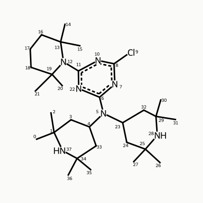 CC1(C)CC(N(c2nc(Cl)nc(N3C(C)(C)CCCC3(C)C)n2)C2CC(C)(C)NC(C)(C)C2)CC(C)(C)N1